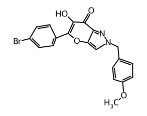 COc1ccc(Cn2cc3oc(-c4ccc(Br)cc4)c(O)c(=O)c3n2)cc1